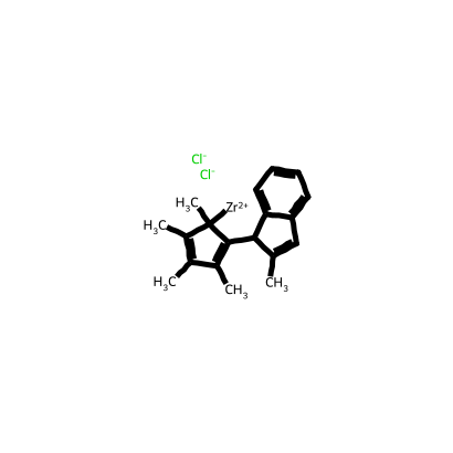 CC1=Cc2ccccc2C1C1=C(C)C(C)=C(C)[C]1(C)[Zr+2].[Cl-].[Cl-]